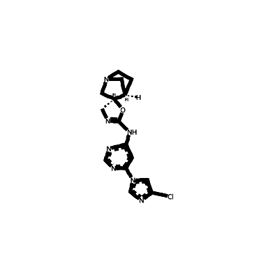 Clc1cn(-c2cc(NC3=NC[C@@]4(CN5CC[C@@H]4C5)O3)ncn2)cn1